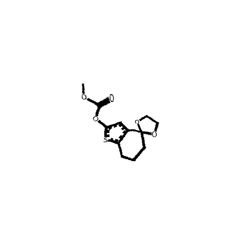 COC(=O)Oc1cc2c(s1)CCCC21OCCO1